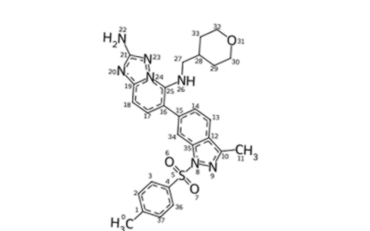 Cc1ccc(S(=O)(=O)n2nc(C)c3ccc(-c4ccc5nc(N)nn5c4NCC4CCOCC4)cc32)cc1